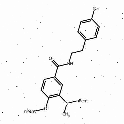 CCCCCOc1ccc(C(=O)NCCc2ccc(O)cc2)cc1N(C)CCCCC